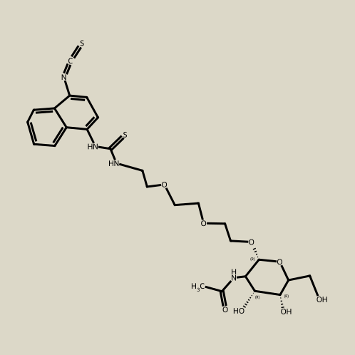 CC(=O)NC1[C@H](OCCOCCOCCNC(=S)Nc2ccc(N=C=S)c3ccccc23)OC(CO)[C@H](O)[C@@H]1O